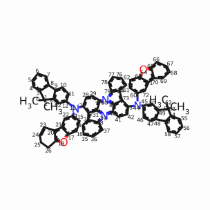 CC1(C)c2ccccc2-c2ccc(N(c3ccc4oc5c(c4c3)C=CCC5)c3ccc4c5c3c3ccccc3n5c3ccc(N(c5ccc6c(c5)C(C)(C)c5ccccc5-6)c5ccc6oc7ccccc7c6c5)c5c6ccccc6n4c53)cc21